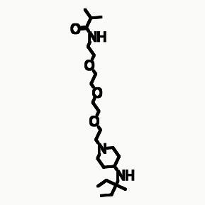 CCC(C)(CC)NC1CCN(CCOCCOCCOCCNC(=O)C(C)C)CC1